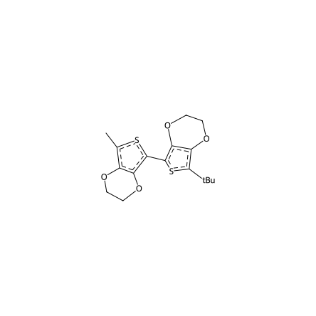 Cc1sc(-c2sc(C(C)(C)C)c3c2OCCO3)c2c1OCCO2